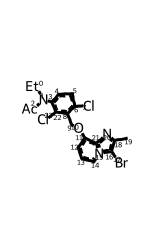 CCN(C(C)=O)c1ccc(Cl)c(COc2cccn3c(Br)c(C)nc23)c1Cl